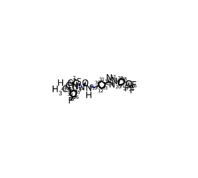 Cc1cs/c(=N\C(=O)N/C=C/c2ccc(-c3ncn(-c4ccc(OC(F)(F)F)cc4)n3)cc2)n1-c1ccc(F)cc1C(C)C